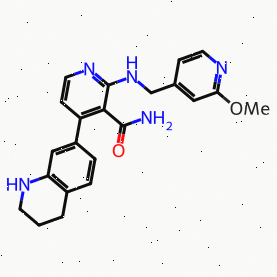 COc1cc(CNc2nccc(-c3ccc4c(c3)NCCC4)c2C(N)=O)ccn1